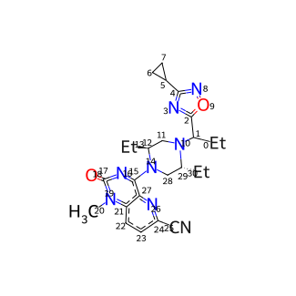 CCC(c1nc(C2CC2)no1)N1C[C@H](CC)N(c2nc(=O)n(C)c3ccc(C#N)nc23)C[C@H]1CC